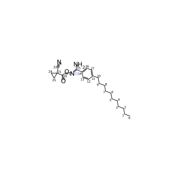 CCCCCCCCCCCc1ccc(/C(N)=N/OC(=O)C2(C#N)CC2)cc1